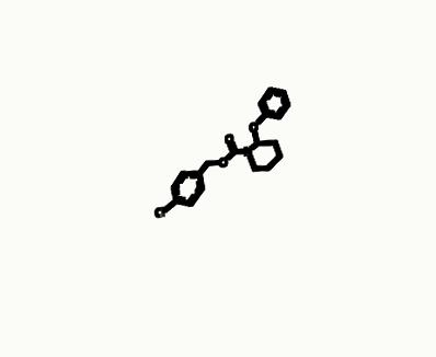 O=C(OCc1ccc(Cl)cc1)N1CCCCC1Oc1ccccc1